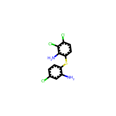 Nc1cc(Cl)ccc1Sc1ccc(Cl)c(Cl)c1N